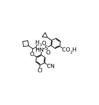 CC(Oc1cc(Cl)c(C#N)cc1NS(=O)(=O)c1cc(C(=O)O)ccc1C1CC1)C1CCC1